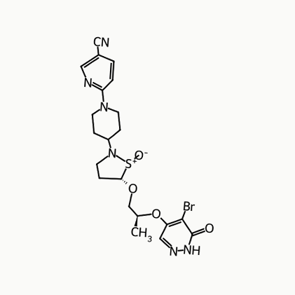 C[C@@H](CO[C@@H]1CCN(C2CCN(c3ccc(C#N)cn3)CC2)[S+]1[O-])Oc1cn[nH]c(=O)c1Br